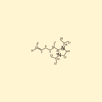 CC(C)=CCCC(C)C1N(C(C)C)CCN1C(C)C